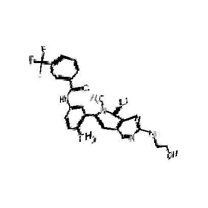 Cc1ccc(NC(=O)c2cccc(C(F)(F)F)c2)cc1-c1cc2cnc(NCCO)nc2c(=O)n1C